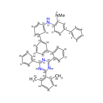 CNc1cc(-c2ccccc2)ccc1Nc1cccc(-c2cccc(-c3ccccc3-c3nc(-c4ccccc4)nc(-c4c(C)cccc4C)n3)c2)c1